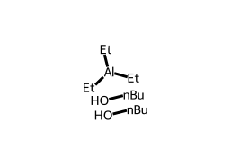 CCCCO.CCCCO.C[CH2][Al]([CH2]C)[CH2]C